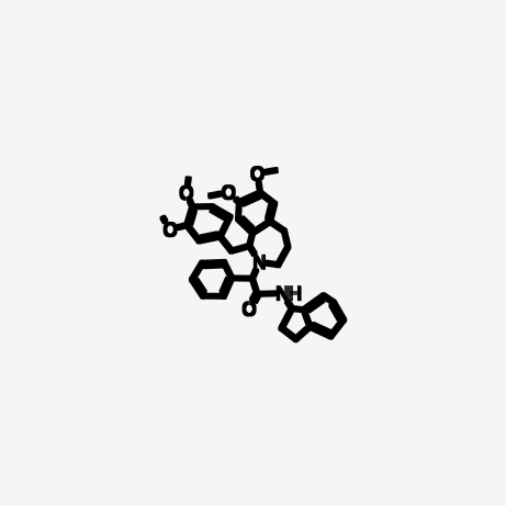 COc1ccc(CC2c3cc(OC)c(OC)cc3CCCN2C(C(=O)NC2CCc3ccccc32)c2ccccc2)cc1OC